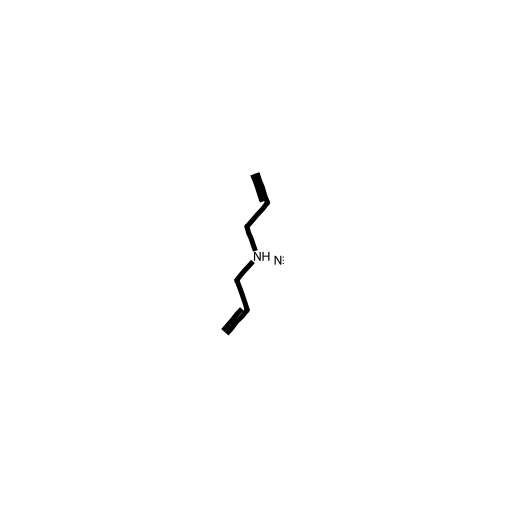 C=CCNCC=C.[N]